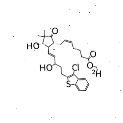 [2H]COC(=O)CCC/C=C\C[C@H]1C(=O)C(C)(C)[C@@H](O)[C@@H]1/C=C/C(O)CCc1sc2ccccc2c1Cl